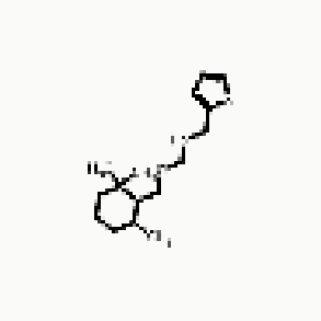 C[C@H]1CCCC(C)(C)C1COCNCc1cccs1